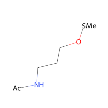 CSOCCCNC(C)=O